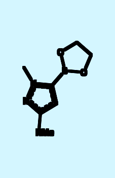 CNc1cc(B2OCCO2)n(C)n1